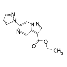 CCOC(=O)c1cnn2cc(-n3cccn3)ncc12